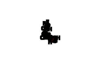 C[C@H]1CC2CC(S(=O)(=O)c3cc(C(=O)Nc4ccc(F)c(F)c4)ccc3Cl)C[C@H]1[C@@]2(O)C(=O)O